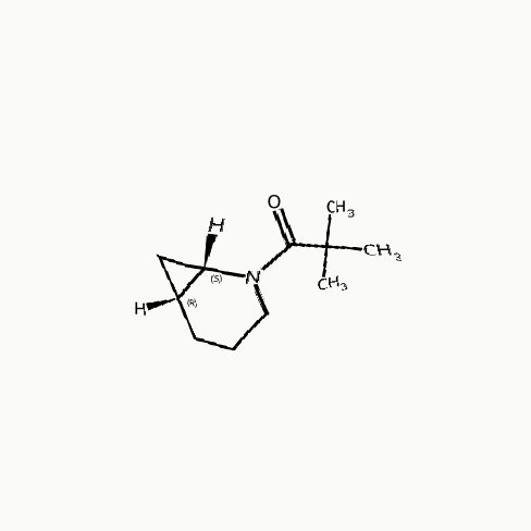 CC(C)(C)C(=O)N1CCC[C@@H]2C[C@@H]21